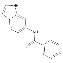 O=C(Nc1ccc2cc[nH]c2c1)c1cc[c]cc1